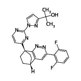 CC(C)(O)c1ccn(-c2nccc([C@]34CC[C@H](CC3)c3cc(-c5c(F)cccc5F)nnc34)n2)n1